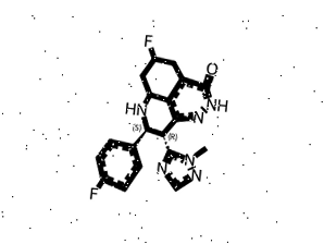 Cn1ncnc1[C@H]1c2n[nH]c(=O)c3c2C(CC(F)C3)N[C@@H]1c1ccc(F)cc1